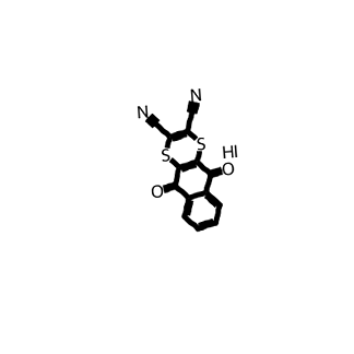 I.N#Cc1sc2c(=O)c3ccccc3c(=O)c=2sc1C#N